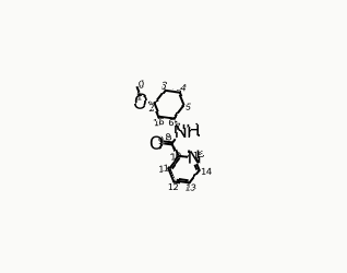 CO[C@@H]1CCC[C@H](NC(=O)c2ccccn2)C1